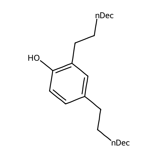 CCCCCCCCCCCCc1ccc(O)c(CCCCCCCCCCCC)c1